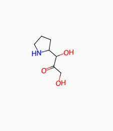 O=C(CO)C(O)C1CCCN1